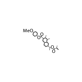 C=C(C)C(=O)OC(C)c1ccc2cc(C(=O)Oc3ccc(OC)cc3)c(C)c(C)c2c1